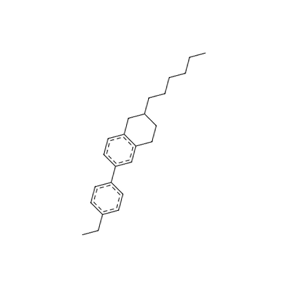 CCCCCCC1CCc2cc(-c3ccc(CC)cc3)ccc2C1